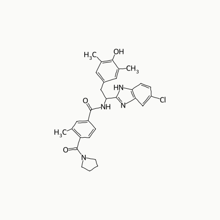 Cc1cc(C(=O)NC(Cc2cc(C)c(O)c(C)c2)c2nc3cc(Cl)ccc3[nH]2)ccc1C(=O)N1CCCC1